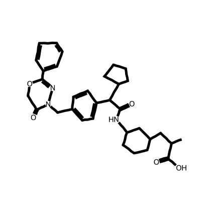 CC(CC1CCCC(NC(=O)C(c2ccc(CN3N=C(c4ccccc4)OCC3=O)cc2)C2CCCC2)C1)C(=O)O